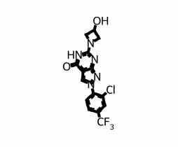 O=c1[nH]c(N2CC(O)C2)nc2nn(-c3ccc(C(F)(F)F)cc3Cl)cc12